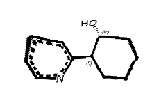 O[C@@H]1CCCC[C@H]1c1ccccn1